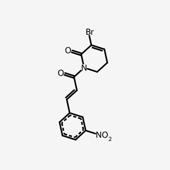 O=C(C=Cc1cccc([N+](=O)[O-])c1)N1CCC=C(Br)C1=O